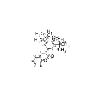 CC(C)(C)c1cc(C(=Cc2ccccc2)C(=O)O)cc(C(C)(C)C)c1O